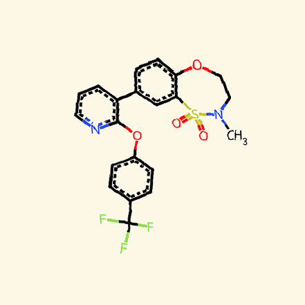 CN1CCOc2ccc(-c3cccnc3Oc3ccc(C(F)(F)F)cc3)cc2S1(=O)=O